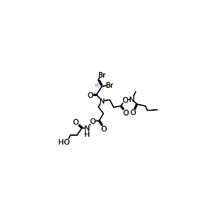 CCCC(=O)N(C)OC(=O)CCN(CCC(=O)ONC(=O)CCO)C(=O)/C(Br)=C/Br